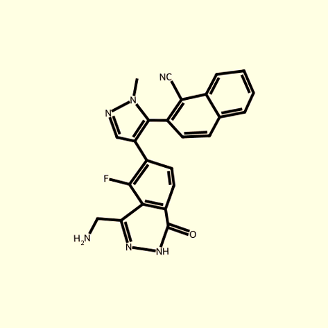 Cn1ncc(-c2ccc3c(=O)[nH]nc(CN)c3c2F)c1-c1ccc2ccccc2c1C#N